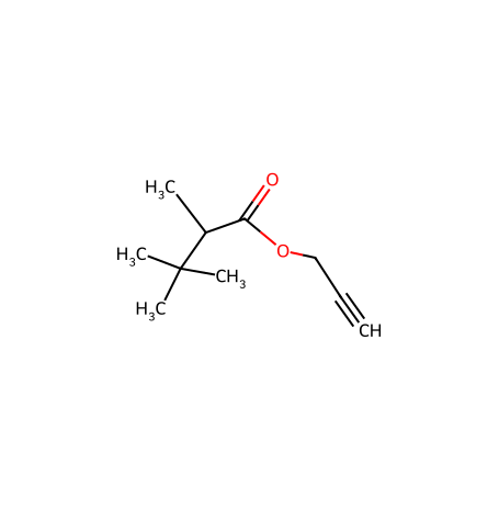 C#CCOC(=O)C(C)C(C)(C)C